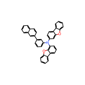 c1cc(-c2ccc3ccccc3c2)cc(N(c2ccc3c(c2)oc2ccccc23)c2cccc3c2oc2ccccc23)c1